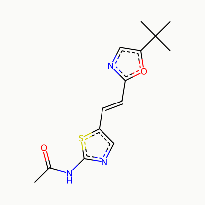 CC(=O)Nc1ncc(C=Cc2ncc(C(C)(C)C)o2)s1